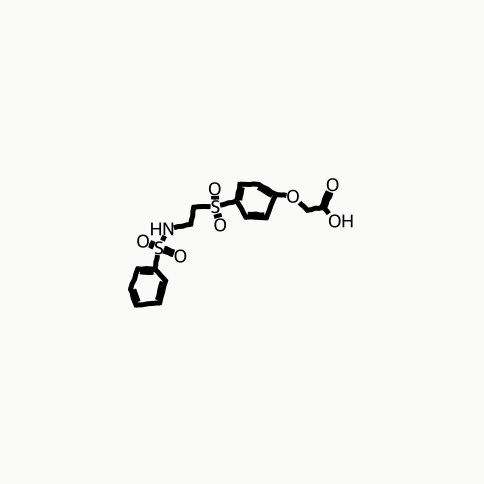 O=C(O)COc1ccc(S(=O)(=O)CCNS(=O)(=O)c2ccccc2)cc1